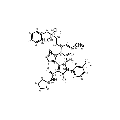 Cn1c(-c2ccnn2-c2ccc(C#N)cc2CC[N+](C)(C)Cc2ccccc2)c(C(=O)NC2CCCC2)c(=O)n1-c1cccc(C(F)(F)F)c1.[Br-]